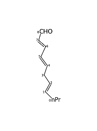 CCC/C=C/C/C=C/C=C/C=O